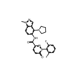 Cn1ncc2c(N3CCCC3)c(NC(=O)c3ccc(=O)n(-c4c(F)cccc4F)n3)ccc21